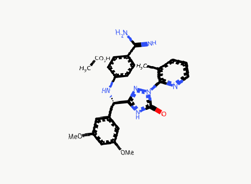 CC(=O)O.COc1cc(OC)cc([C@H](Nc2ccc(C(=N)N)cc2)c2nn(-c3ncccc3C)c(=O)[nH]2)c1